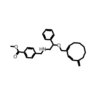 C=C1/C=C\C(COC(CNCc2ccc(C(=O)OC)cc2)c2ccccc2)=C/CCCCC1